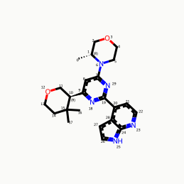 C[C@@H]1COCCN1c1cc([C@@H]2COCCC2(C)C)nc(-c2ccnc3[nH]ccc23)n1